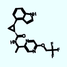 CC(NC(=O)[C@@H]1C[C@H]1c1cccc2[nH]ccc12)c1cnc(OCC(F)(F)F)cn1